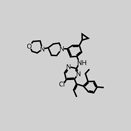 C/C=C(\c1ccc(C)cc1CC)c1nc(Nc2cc(C3CC3)cc(N3CCC(N4CCOCC4)CC3)c2)ncc1Cl